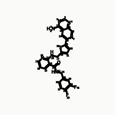 Nc1ncnc2cnc(-c3ccc(CNc4ncccc4C(=O)NCc4ccc(F)c(F)c4)s3)cc12